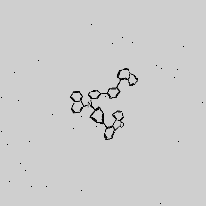 C1=CC2=C(c3cccc(-c4cccc(N(c5ccc(-c6cccc7oc8ccccc8c67)cc5)c5cccc6ccccc56)c4)c3)C=CCC2C=C1